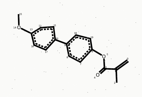 C=C(C)C(=O)Oc1ccc(-c2ccc(OC)cc2)cc1